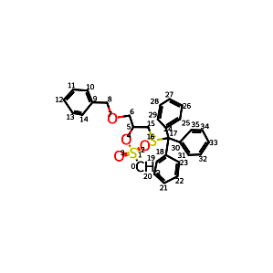 CS(=O)(=O)OC(COCc1ccccc1)CSC(c1ccccc1)(c1ccccc1)c1ccccc1